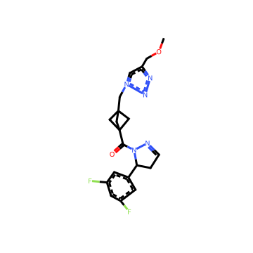 COCc1cn(CC23CC(C(=O)N4N=CCC4c4cc(F)cc(F)c4)(C2)C3)nn1